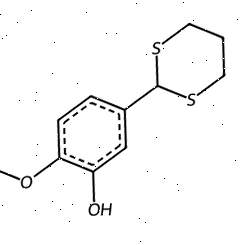 COc1ccc(C2SCCCS2)cc1O